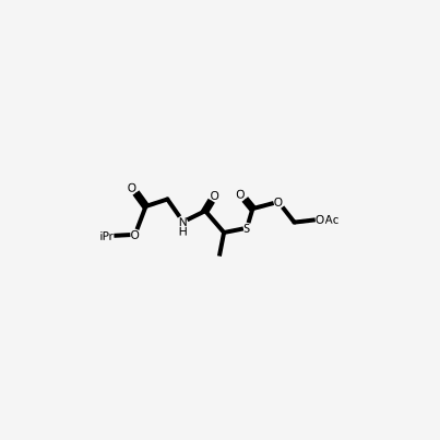 CC(=O)OCOC(=O)SC(C)C(=O)NCC(=O)OC(C)C